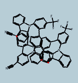 N#Cc1ccc(-n2c3ccccc3c3cc(-c4cc(C(F)(F)F)ccc4-n4c5ccccc5c5ccccc54)ccc32)c(-c2cc(C#N)ccc2-n2c3ccccc3c3cc(-c4cc(C(F)(F)F)ccc4-n4c5ccccc5c5ccccc54)ccc32)c1